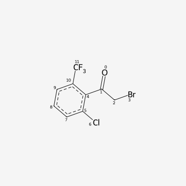 O=C(CBr)c1c(Cl)cccc1C(F)(F)F